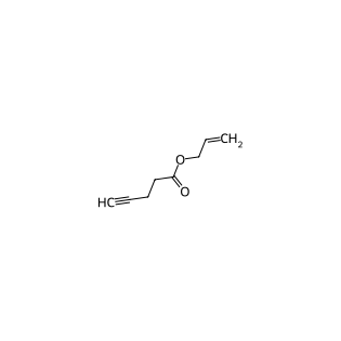 C#CCCC(=O)OCC=C